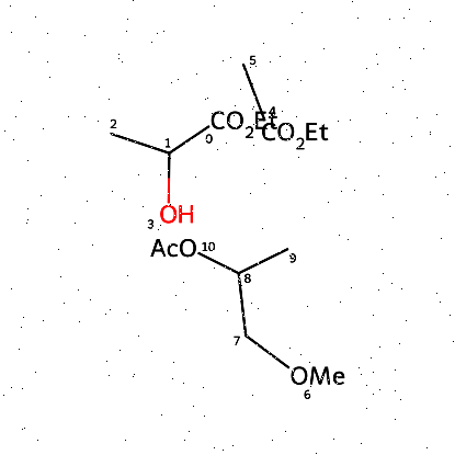 CCOC(=O)C(C)O.CCOC(C)=O.COCC(C)OC(C)=O